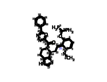 C=NN1C=CC=C(OC(P)P)/C1=C/C[C@H]1c2nc[nH]c2CCN1C(=O)c1nnc(-c2ccccn2)o1